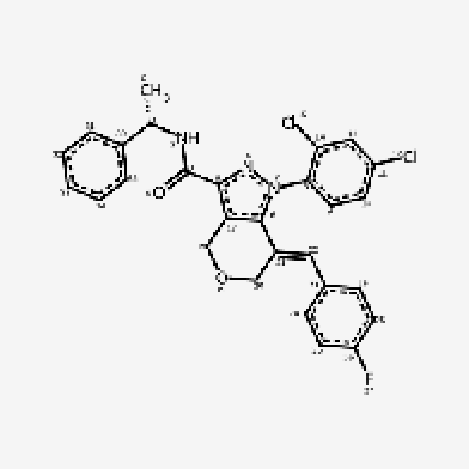 C[C@H](NC(=O)c1nn(-c2ccc(Cl)cc2Cl)c2c1COC/C2=C\c1ccc(F)cc1)c1ccccc1